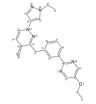 CCOc1cnc(-c2cccc(Cc3nn(-c4cnn(CC)c4)ccc3=O)c2)nc1